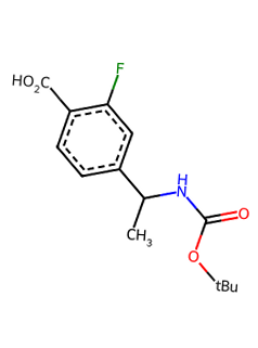 CC(NC(=O)OC(C)(C)C)c1ccc(C(=O)O)c(F)c1